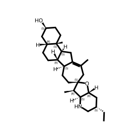 CC[C@@H]1CN[C@H]2[C@@H](C)[C@@]3(CC[C@@H]4C(=C(C)C3)C[C@H]3[C@H]4CC[C@@H]4C[C@@H](O)CC[C@@]43C)O[C@@H]2C1